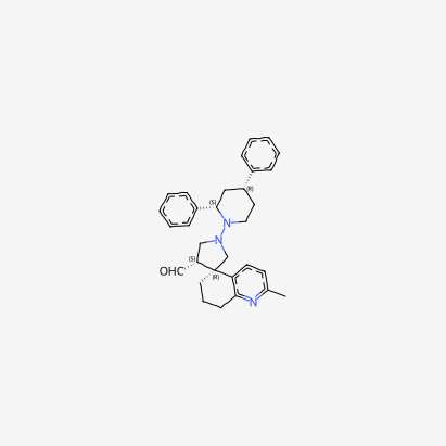 Cc1ccc2c(n1)CCC[C@]21CN(N2CC[C@@H](c3ccccc3)C[C@H]2c2ccccc2)C[C@H]1C=O